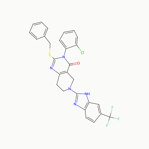 O=c1c2c(nc(SCc3ccccc3)n1-c1ccccc1Cl)CCN(c1nc3ccc(C(F)(F)F)cc3[nH]1)C2